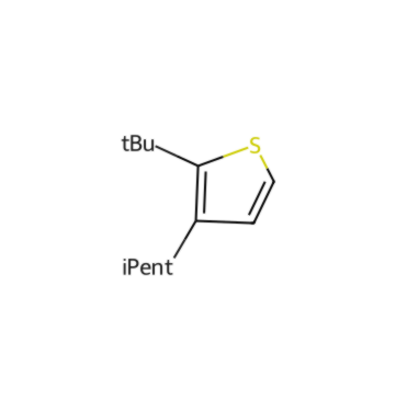 CCCC(C)c1ccsc1C(C)(C)C